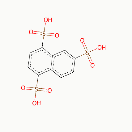 O=S(=O)(O)c1ccc2c(S(=O)(=O)O)ccc(S(=O)(=O)O)c2c1